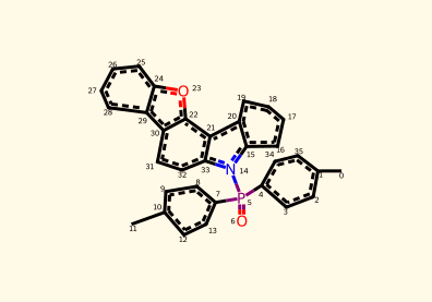 Cc1ccc(P(=O)(c2ccc(C)cc2)n2c3ccccc3c3c4oc5ccccc5c4ccc32)cc1